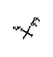 CC.F[B-](F)(F)F.[NH4+]